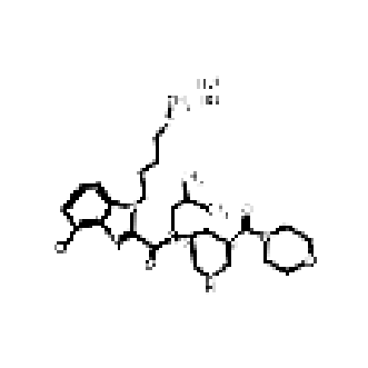 COCCCCn1c(C(=O)N(CC(C)C)[C@@H]2CNC[C@H](C(=O)N3CCOCC3)C2)nc2c(Cl)cccc21.Cl.Cl